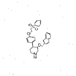 O=S(=O)(CCOc1ccc(C2CCNCC2OCc2ccc3ccccc3c2)cc1)c1ccccc1